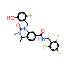 CC1c2ccc(C(=O)NCc3c(F)cc(F)cc3F)cc2N(Cc2cc(O)ccc2F)C(=O)N1C